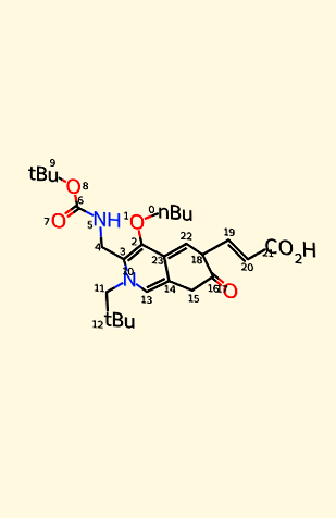 CCCCOC1=C(CNC(=O)OC(C)(C)C)N(CC(C)(C)C)C=C2CC(=O)C(/C=C/C(=O)O)C=C21